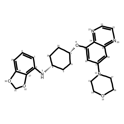 c1cc(N[C@H]2CC[C@@H](Oc3cc(N4CCOCC4)cc4nccnc34)CC2)c2c(c1)OCO2